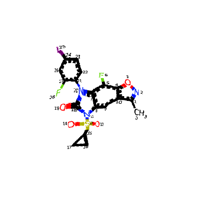 Cc1noc2c(F)c3c(cc12)n(S(=O)(=O)C1CC1)c(=O)n3-c1ccc(I)cc1F